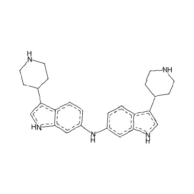 c1cc2c(C3CCNCC3)c[nH]c2cc1Nc1ccc2c(C3CCNCC3)c[nH]c2c1